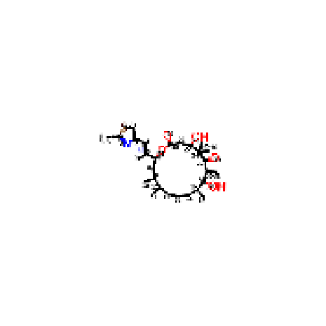 CCc1nc(/C=C(\C)C2CC(C)C(C)CCCC(C)C(O)C(C)C(=O)C(C)(C)C(O)CC(=O)O2)cs1